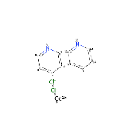 [Cl-].[Cl-].[Co+2].c1ccncc1.c1ccncc1